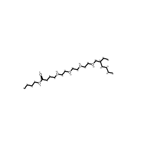 CCCCOC(=O)CCCOCCOCCOCCOCC(CC)CCCC